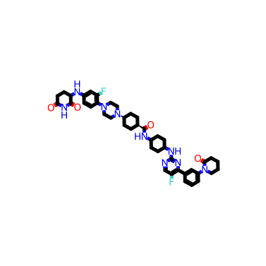 O=C1CCC(Nc2ccc(N3CCN([C@H]4CC[C@H](C(=O)NC5CCC(Nc6ncc(F)c(-c7cccc(N8CCCCC8=O)c7)n6)CC5)CC4)CC3)c(F)c2)C(=O)N1